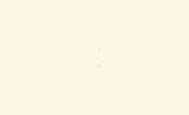 O=C(O)c1ccc2cnc(N[C@@H]3CCOC[C@H]3F)nc2c1